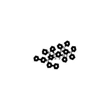 Fc1ccccc1N1c2cc(N(c3ccccc3)c3ccccc3)cc3c2B(c2ccccc2N3c2ccccc2)c2cc3c(c(F)c21)Sc1cc(N(c2ccc(-c4ccccc4)cc2)c2cccc(-c4ccccc4)c2)cc2c1B3c1ccccc1N2c1ccccc1